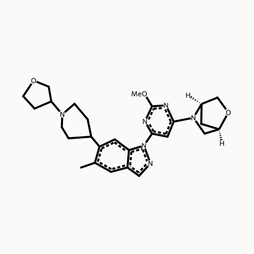 COc1nc(N2C[C@H]3C[C@@H]2CO3)cc(-n2ncc3cc(C)c(C4CCN(C5CCOC5)CC4)cc32)n1